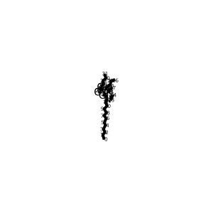 CCCCCCCCCCCCN1C=CN(CC)C1OP(=O)(OCCCC)OCCCC